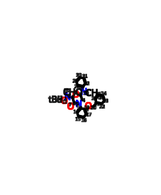 CN(C(=O)CN(C(=O)CN(C=O)OC(C)(C)C)c1ccccc1OCc1ccccc1)c1ccccc1